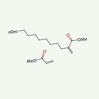 C=C(CCCCCCCCCCCCCCCCCC)C(=O)OC.C=CC(=O)OC